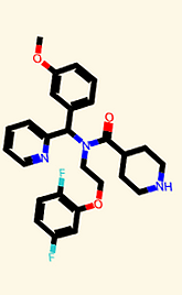 COc1cccc(C(c2ccccn2)N(CCOc2cc(F)ccc2F)C(=O)C2CCNCC2)c1